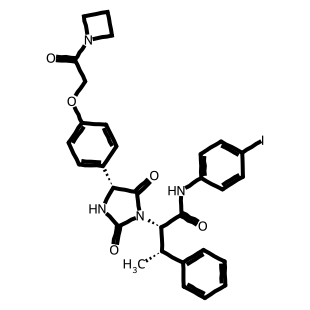 C[C@@H](c1ccccc1)[C@@H](C(=O)Nc1ccc(I)cc1)N1C(=O)N[C@H](c2ccc(OCC(=O)N3CCC3)cc2)C1=O